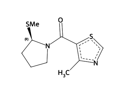 CS[C@@H]1CCCN1C(=O)c1scnc1C